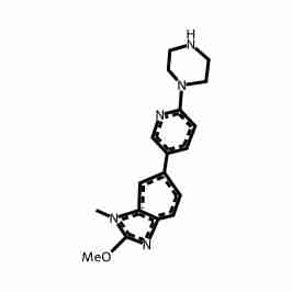 COc1nc2ccc(-c3ccc(N4CCNCC4)nc3)cc2n1C